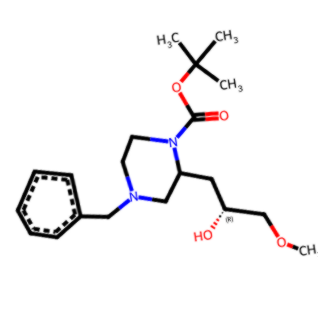 COC[C@H](O)CC1CN(Cc2ccccc2)CCN1C(=O)OC(C)(C)C